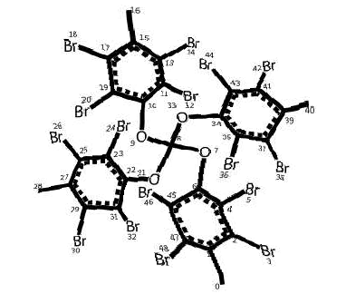 Cc1c(Br)c(Br)c(OC(Oc2c(Br)c(Br)c(C)c(Br)c2Br)(Oc2c(Br)c(Br)c(C)c(Br)c2Br)Oc2c(Br)c(Br)c(C)c(Br)c2Br)c(Br)c1Br